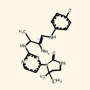 CC(Nc1nccc(N2C(=O)NCC2(C)C)n1)/C(N)=C/Nc1ccc(Cl)cc1